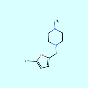 CC(C)c1ccc(CN2CCN(C)CC2)o1